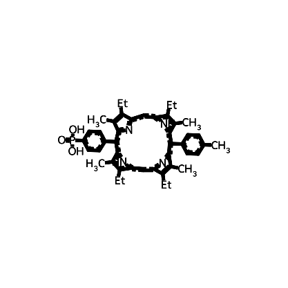 CCC1=C(C)c2nc1cc1[nH]c(c(C)c1CC)c(-c1ccc(C)cc1)c1nc(cc3[nH]c(c(C)c3CC)c2-c2ccc(P(=O)(O)O)cc2)C(CC)=C1C